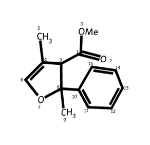 COC(=O)C1C(C)=COC1(C)c1ccccc1